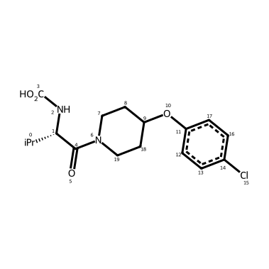 CC(C)[C@H](NC(=O)O)C(=O)N1CCC(Oc2ccc(Cl)cc2)CC1